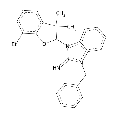 CCc1c[c]cc2c1OC(n1c(=N)n(Cc3ccccc3)c3ccccc31)C2(C)C